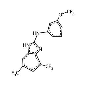 FC(F)(F)Oc1cccc(Nc2nc3c(C(F)(F)F)cc(C(F)(F)F)cc3[nH]2)c1